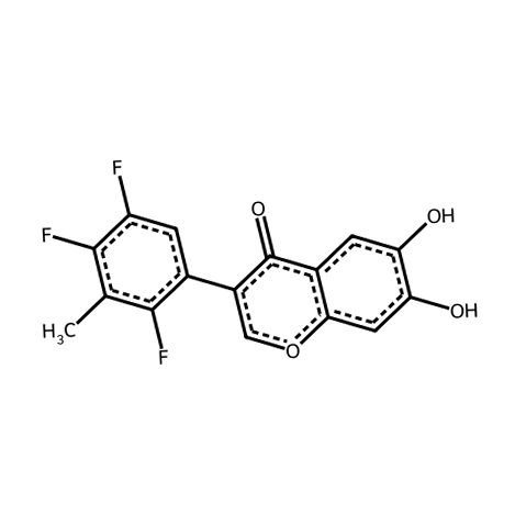 Cc1c(F)c(F)cc(-c2coc3cc(O)c(O)cc3c2=O)c1F